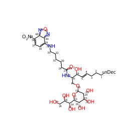 CCCCCCCCCCCCCC=CC(O)C(COC1O[C@H]([C@@H](O)[C@H](O)CO)[C@@H](O)[C@H](O)[C@H]1O)NC(=O)CCCCCNc1ccc([N+](=O)[O-])c2nonc12